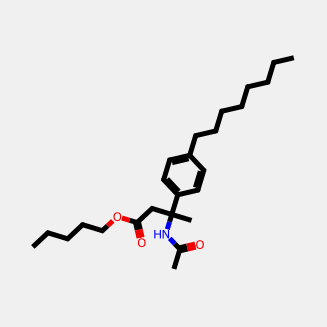 CCCCCCCCc1ccc(C(C)(CC(=O)OCCCCC)NC(C)=O)cc1